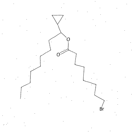 CCCCCCCCC(OC(=O)CCCCCCCBr)C1CC1